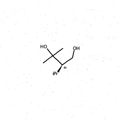 CC(C)[C@H](CO)C(C)(C)O